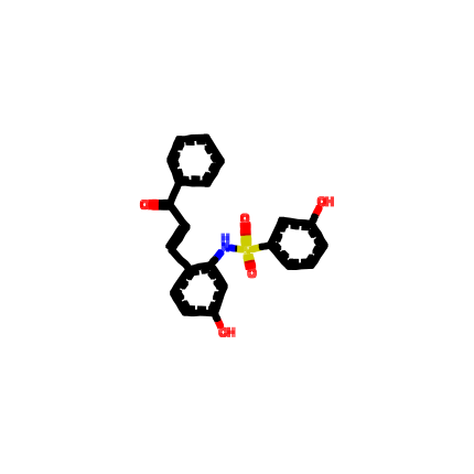 O=C(/C=C/c1ccc(O)cc1NS(=O)(=O)c1cccc(O)c1)c1ccccc1